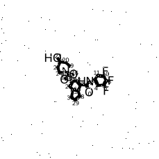 O=C(Nc1cc(F)c(F)c(F)c1)c1cc(S(=O)(=O)N2CCC(O)CC2)cc2c1C=CC2